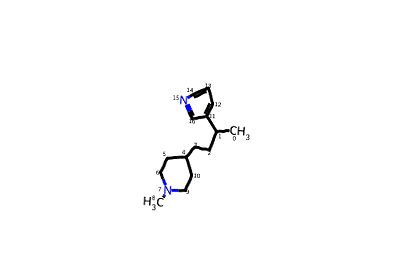 CC(CCC1CCN(C)CC1)c1cccnc1